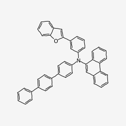 c1ccc(-c2ccc(-c3ccc(N(c4cccc(-c5cc6ccccc6o5)c4)c4cc5ccccc5c5ccccc45)cc3)cc2)cc1